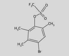 Cc1cc(Br)c(C)c(C)c1OS(=O)(=O)C(F)(F)F